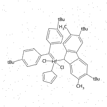 Cc1cc2c(cc1C(C)(C)C)-c1cc(C(C)(C)C)c(C)cc1[CH]2[Hf]([Cl])([Cl])(=[C](c1ccc(C(C)(C)C)cc1)c1ccc(C(C)(C)C)cc1)[CH]1C=CC=C1